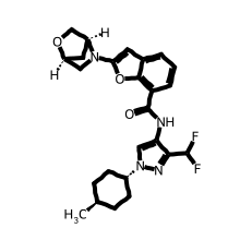 C[C@H]1CC[C@H](n2cc(NC(=O)c3cccc4cc(N5C[C@@H]6C[C@H]5CO6)oc34)c(C(F)F)n2)CC1